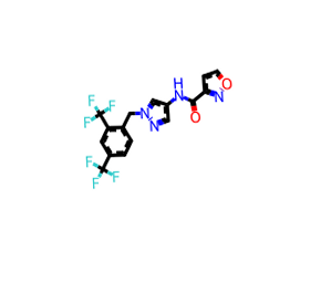 O=C(Nc1cnn(Cc2ccc(C(F)(F)F)cc2C(F)(F)F)c1)c1ccon1